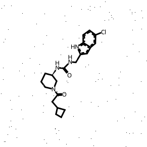 O=C(NCc1cc2cc(Cl)ccc2[nH]1)N[C@@H]1CCCN(C(=O)CC2CCC2)C1